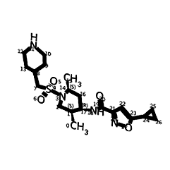 C[C@H]1CN(S(=O)(=O)CC2CCNCC2)[C@@H](C)C[C@H]1NC(=O)c1cc(C2CC2)on1